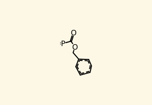 O=C([P])OCc1ccccc1